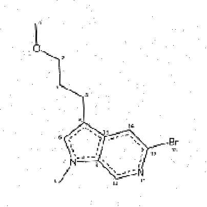 COCCCc1cn(C)c2cnc(Br)cc12